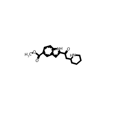 COC(=O)c1ccc2[nH]c(C(=O)CC3CCCCN3)cc2c1